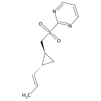 C/C=C/[C@H]1C[C@@H]1CS(=O)(=O)c1ncccn1